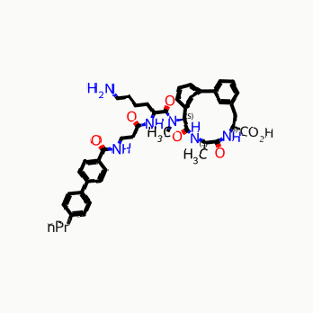 CCCc1ccc(-c2ccc(C(=O)NCCC(=O)NC(CCCCN)C(=O)N(C)[C@@H]3C(=O)N[C@@H](C)C(=O)N[C@H](C(=O)O)Cc4cccc(c4)-c4cccc3c4)cc2)cc1